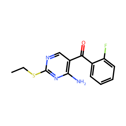 CCSc1ncc(C(=O)c2ccccc2F)c(N)n1